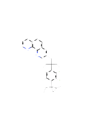 CCC(CC)(Cc1cnc2c(ccc3cccnc32)c1)c1c(F)c(F)c(C2(CC)CC2C)c(F)c1F